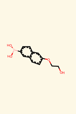 OCCOc1ccc2cc(B(O)O)ccc2c1